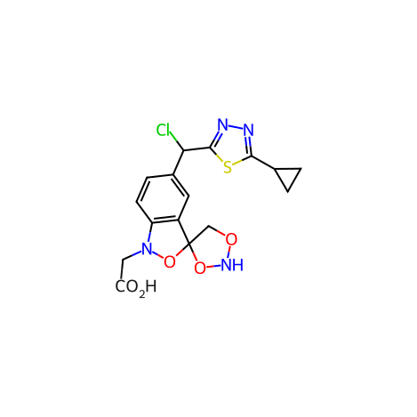 O=C(O)CN1OC2(CONO2)c2cc(C(Cl)c3nnc(C4CC4)s3)ccc21